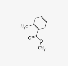 [CH2]OC(=O)C1=C(C)CC=CC1